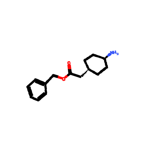 N[C@H]1CC[C@H](CC(=O)OCc2ccccc2)CC1